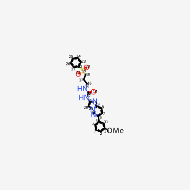 COc1cccc(-c2ccc3nc(NC(=O)NCCCS(=O)(=O)c4ccccc4)cn3n2)c1